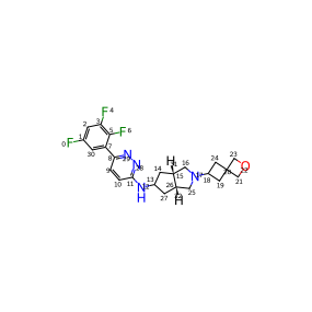 Fc1cc(F)c(F)c(-c2ccc(NC3C[C@@H]4CN(C5CC6(COC6)C5)C[C@@H]4C3)nn2)c1